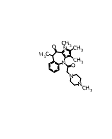 Cc1c2c(n(C)c1C)C(=O)C(C)c1ccccc1N2C(=O)CN1CCN(C)CC1